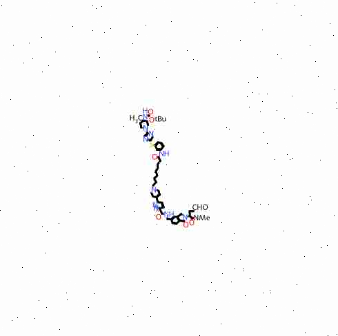 CNC(=O)C(CCC=O)N1Cc2cc(CNC(=O)c3ccc(C4=CCN(CCCCCCCCC(=O)Nc5cccc(Sc6cnc(N7CCC(C)(NC(=O)OC(C)(C)C)CC7)cn6)c5)CC4)nn3)ccc2C1=O